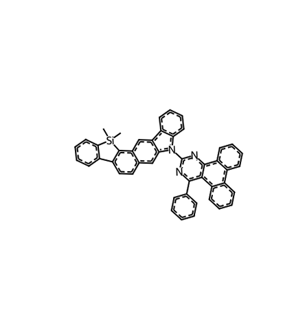 C[Si]1(C)c2ccccc2-c2ccc3cc4c(cc3c21)c1ccccc1n4-c1nc(-c2ccccc2)c2c3ccccc3c3ccccc3c2n1